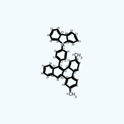 Cc1ccc2c3ccc(C)cc3c3c(-c4ccc(-n5c6ccccc6c6ccccc65)cc4)c4ccccc4cc3c2c1